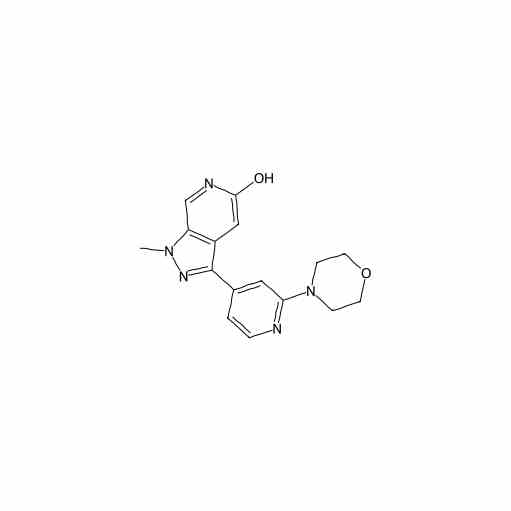 Cn1nc(-c2ccnc(N3CCOCC3)c2)c2cc(O)ncc21